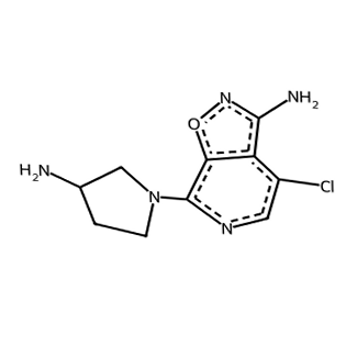 Nc1noc2c(N3CCC(N)C3)ncc(Cl)c12